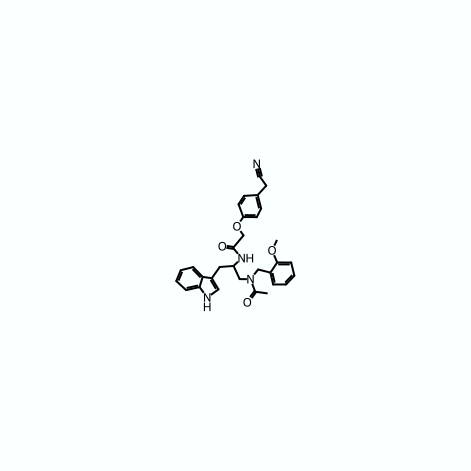 COc1ccccc1CN(CC(Cc1c[nH]c2ccccc12)NC(=O)COc1ccc(CC#N)cc1)C(C)=O